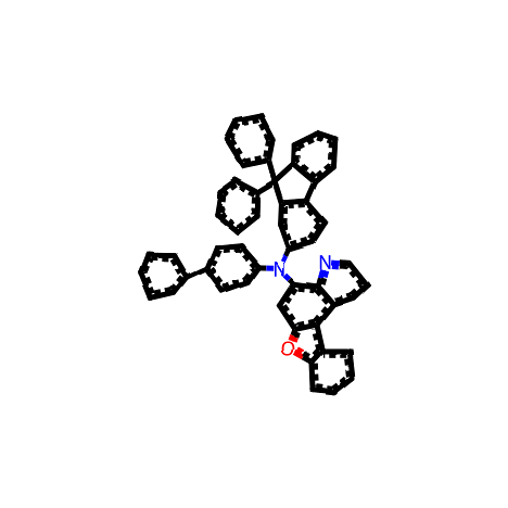 c1ccc(-c2ccc(N(c3ccc4c(c3)C(c3ccccc3)(c3ccccc3)c3ccccc3-4)c3cc4oc5ccccc5c4c4cccnc34)cc2)cc1